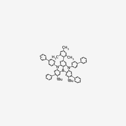 Cc1cc(C)c(-c2cc3c4c(c2)N(c2ccc(-c5ccccc5)cc2)c2cc(-c5ccccc5)c(C(C)(C)C)cc2B4c2cc(C(C)(C)C)c(-c4ccccc4)cc2N3c2ccc(-c3ccccc3)cc2)c(C)c1